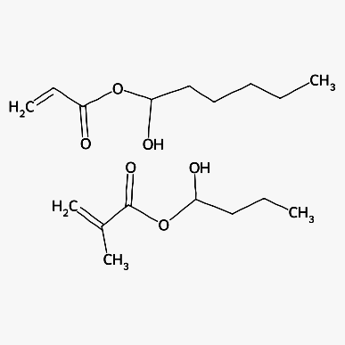 C=C(C)C(=O)OC(O)CCC.C=CC(=O)OC(O)CCCCC